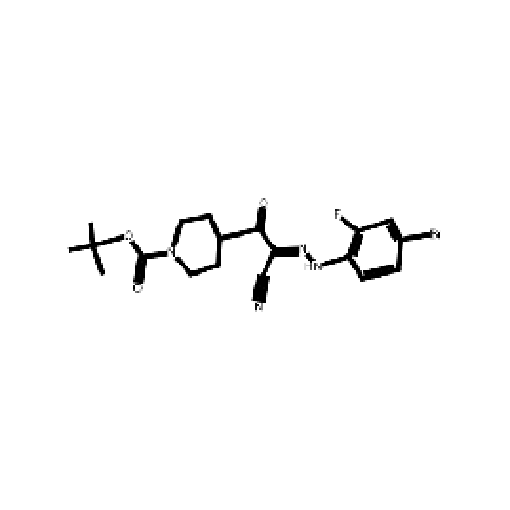 CC(C)(C)OC(=O)N1CCC(C(=O)/C(C#N)=N/Nc2ccc(Br)cc2F)CC1